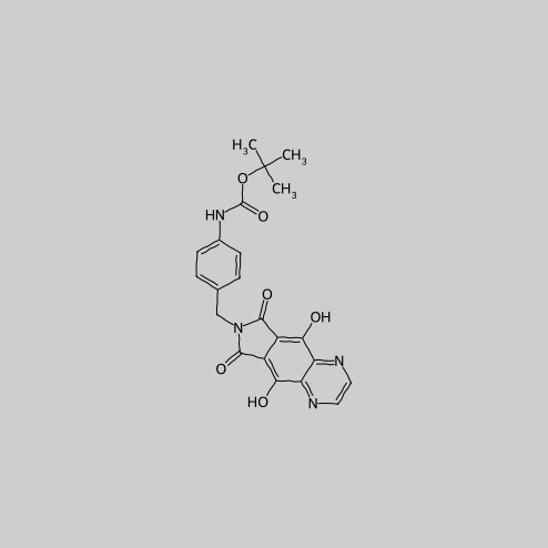 CC(C)(C)OC(=O)Nc1ccc(CN2C(=O)c3c(c(O)c4nccnc4c3O)C2=O)cc1